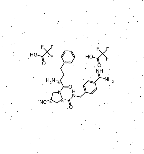 N#C[C@H]1C[C@@H](C(=O)NCc2ccc(C(=N)N)cc2)N(C(=O)[C@H](N)CCc2ccccc2)C1.O=C(O)C(F)(F)F.O=C(O)C(F)(F)F